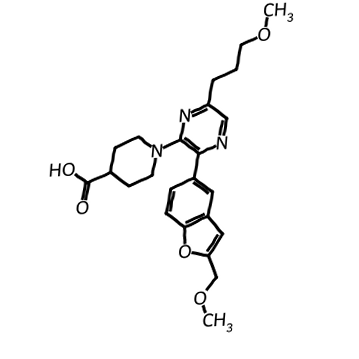 COCCCc1cnc(-c2ccc3oc(COC)cc3c2)c(N2CCC(C(=O)O)CC2)n1